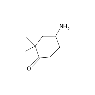 CC1(C)CC(N)CCC1=O